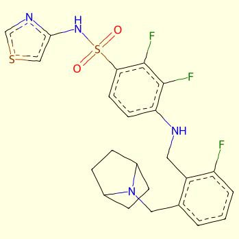 O=S(=O)(Nc1cscn1)c1ccc(NCc2c(F)cccc2CN2C3CCC2CC3)c(F)c1F